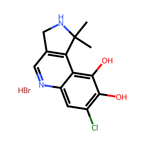 Br.CC1(C)NCc2cnc3cc(Cl)c(O)c(O)c3c21